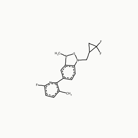 Cc1ccc(F)nc1-c1ccc2c(c1)N(C)SN2CC1CC1(F)F